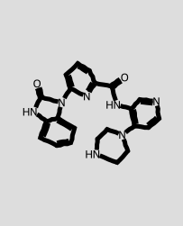 O=C(Nc1cnccc1N1CCNCC1)c1cccc(-n2c(=O)[nH]c3ccccc32)n1